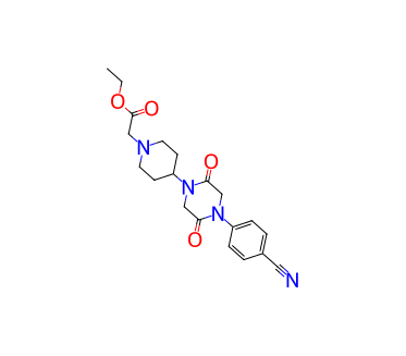 CCOC(=O)CN1CCC(N2CC(=O)N(c3ccc(C#N)cc3)CC2=O)CC1